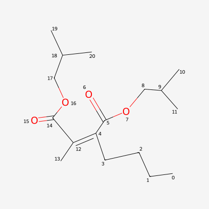 CCCC/C(C(=O)OCC(C)C)=C(\C)C(=O)OCC(C)C